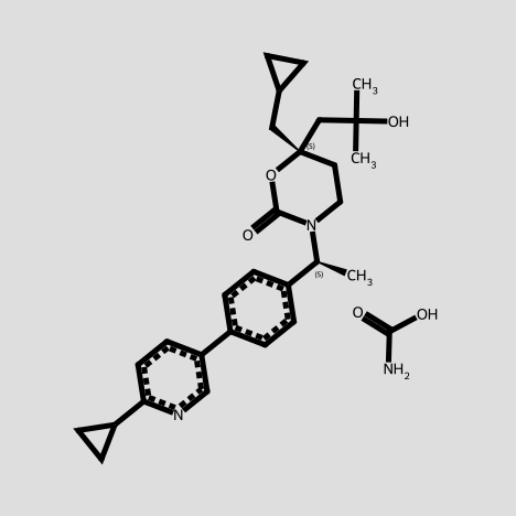 C[C@@H](c1ccc(-c2ccc(C3CC3)nc2)cc1)N1CC[C@@](CC2CC2)(CC(C)(C)O)OC1=O.NC(=O)O